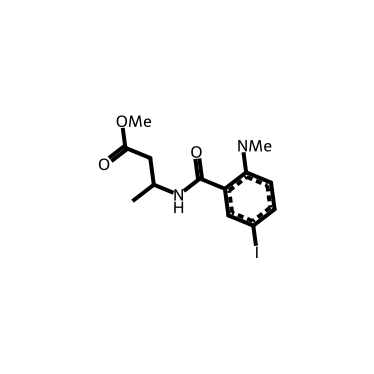 CNc1ccc(I)cc1C(=O)NC(C)CC(=O)OC